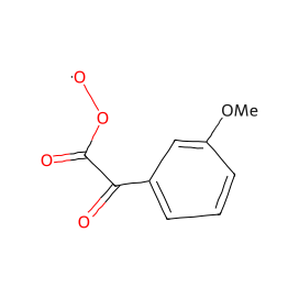 COc1cccc(C(=O)C(=O)O[O])c1